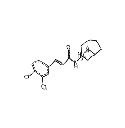 CN1C2CCC1CC(NC(=O)C=Cc1ccc(Cl)c(Cl)c1)C2